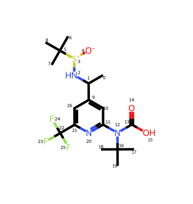 CC(N[S+]([O-])C(C)(C)C)c1cc(N(C(=O)O)C(C)(C)C)nc(C(F)(F)F)c1